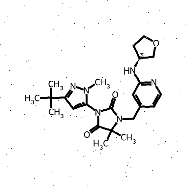 Cn1nc(C(C)(C)C)cc1N1C(=O)N(Cc2ccnc(N[C@H]3CCOC3)c2)C(C)(C)C1=O